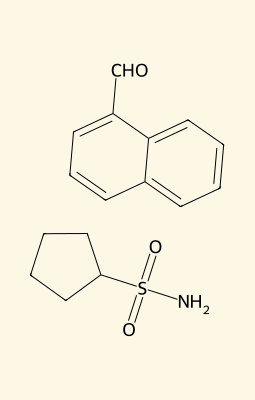 NS(=O)(=O)C1CCCC1.O=Cc1cccc2ccccc12